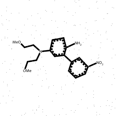 COCCN(CCOC)c1ccc(N)c(-c2cccc([N+](=O)[O-])c2)c1